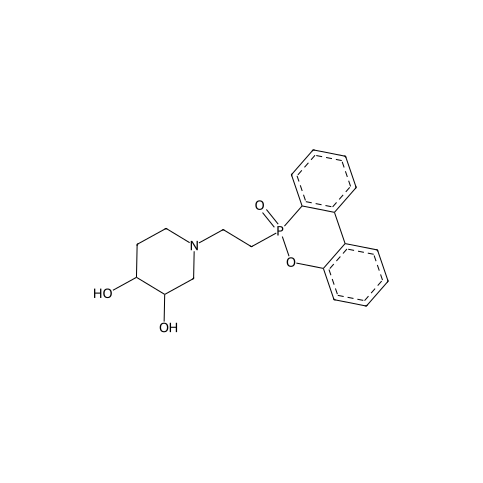 O=P1(CCN2CCC(O)C(O)C2)Oc2ccccc2-c2ccccc21